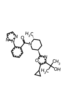 C[C@@H]1CC[C@@H](c2nc(C(C)(C)O)c(C3CC3)o2)CN1C(=O)c1ccccc1-n1nccn1